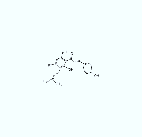 CC(C)=CCc1c(O)cc(O)c(C(=O)C=Cc2ccc(O)cc2)c1O